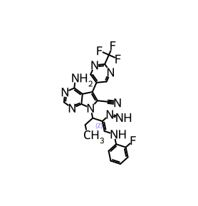 CCC(/C(=C/Nc1ccccc1F)N=N)n1c(C#N)c(-c2cnc(C(F)(F)F)nc2)c2c(N)ncnc21